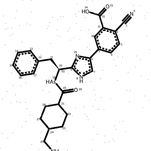 N#Cc1ccc(-c2c[nH]c([C@H](Cc3ccccc3)[AsH]C(=O)C3CCC(CN)CC3)n2)cc1C(=O)O